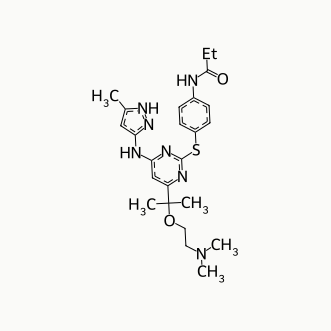 CCC(=O)Nc1ccc(Sc2nc(Nc3cc(C)[nH]n3)cc(C(C)(C)OCCN(C)C)n2)cc1